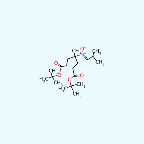 CC(C)/C=[N+](\[O-])C(C)(CCC(=O)OC(C)(C)C)CCC(=O)OC(C)(C)C